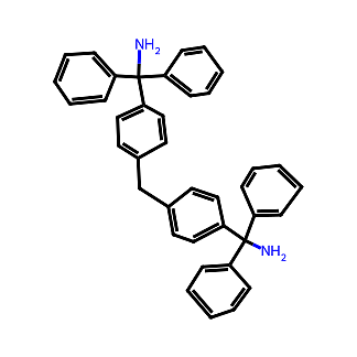 NC(c1ccccc1)(c1ccccc1)c1ccc(Cc2ccc(C(N)(c3ccccc3)c3ccccc3)cc2)cc1